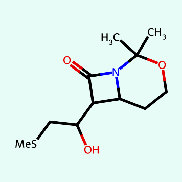 CSCC(O)C1C(=O)N2C1CCOC2(C)C